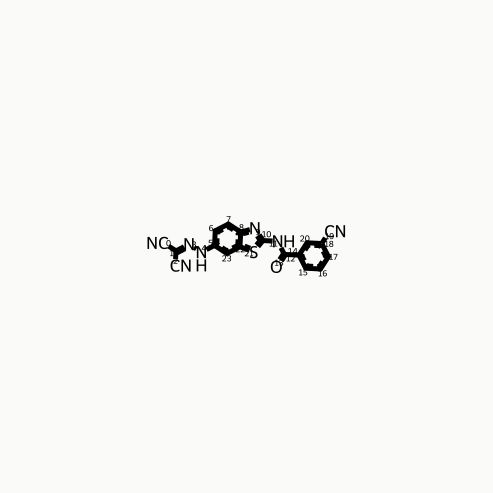 N#CC(C#N)=NNc1ccc2nc(NC(=O)c3cccc(C#N)c3)sc2c1